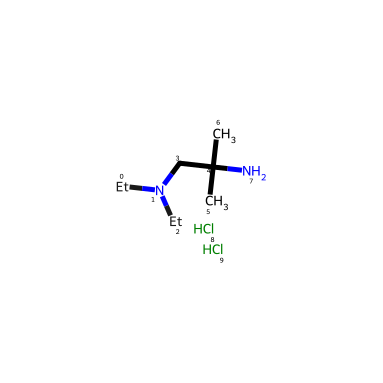 CCN(CC)CC(C)(C)N.Cl.Cl